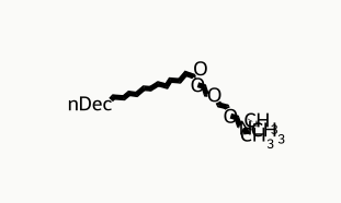 CCCCCCCCCCCCCCCCCCCCCC(=O)OCCOCCOCC[N+](C)(C)C